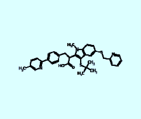 Cc1ccc(-c2ccc(CC(C(=O)O)c3c(SC(C)(C)C)c4cc(SCc5ccccn5)ccc4n3C)cc2)nc1